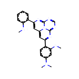 CNc1ccccc1C1=CC2=CC(c3ccc(N(C)C)cc3NC)=NC3=NC=NC(=N1)N23